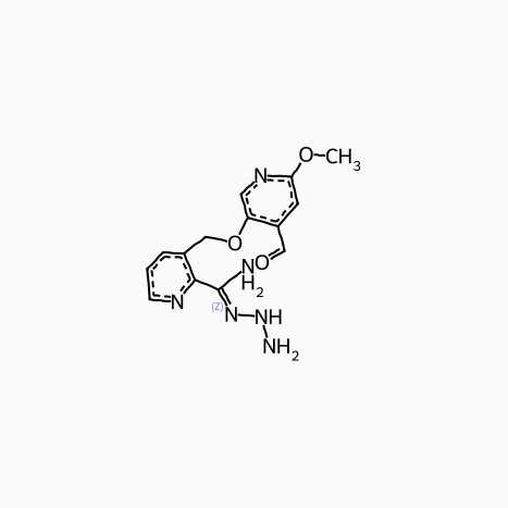 COc1cc(C=O)c(OCc2cccnc2/C(N)=N/NN)cn1